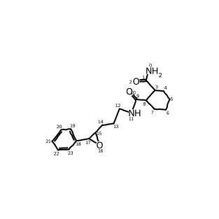 NC(=O)C1CCCCC1C(=O)NCCCC1OC1c1ccccc1